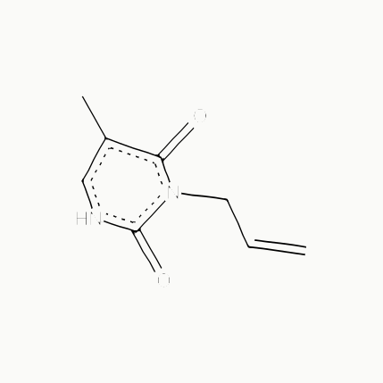 C=CCn1c(=O)[nH]cc(C)c1=O